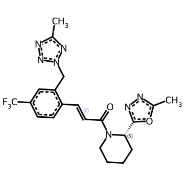 Cc1nnn(Cc2cc(C(F)(F)F)ccc2/C=C/C(=O)N2CCCC[C@H]2c2nnc(C)o2)n1